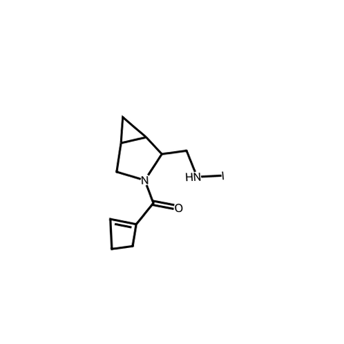 O=C(C1=CCC1)N1CC2CC2C1CNI